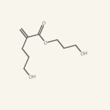 C=C(CCCO)C(=O)OCCCO